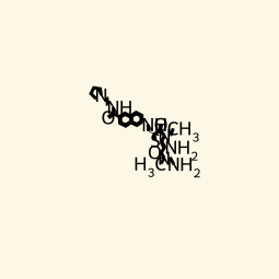 CCN1C(=O)[C@@H](CNc2ccc3cc(C(=O)NCCN4CCCC4)ccc3c2)S/C1=C(/N)C(=O)N(C)CN